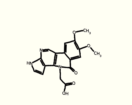 COc1cc2c(=O)n(CC(=O)O)c3c4cc[nH]c4ncc3c2cc1OC